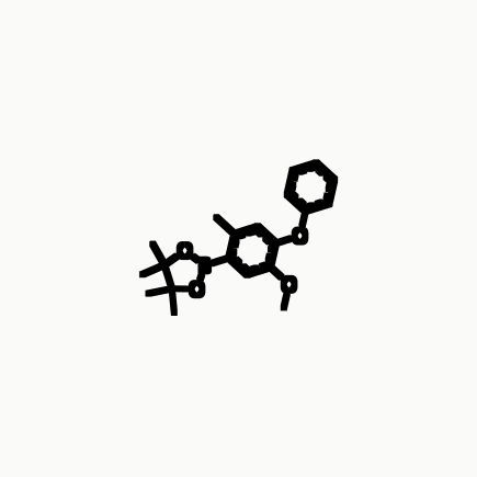 COc1cc(B2OC(C)(C)C(C)(C)O2)c(C)cc1Oc1ccccc1